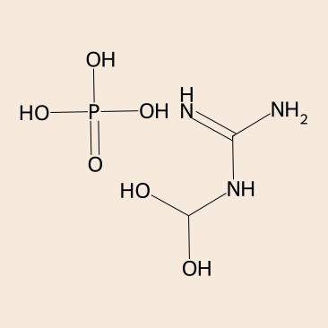 N=C(N)NC(O)O.O=P(O)(O)O